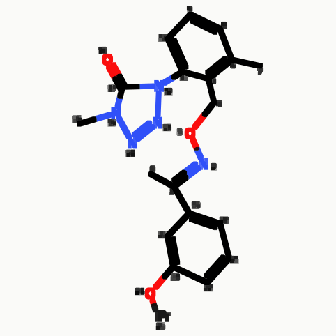 CC(=NOCc1c(C)cccc1-n1nnn(C)c1=O)c1cccc(OC(C)C)c1